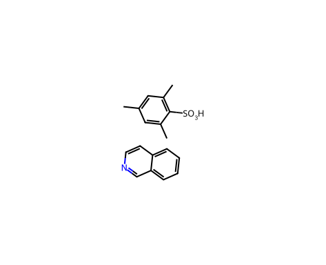 Cc1cc(C)c(S(=O)(=O)O)c(C)c1.c1ccc2cnccc2c1